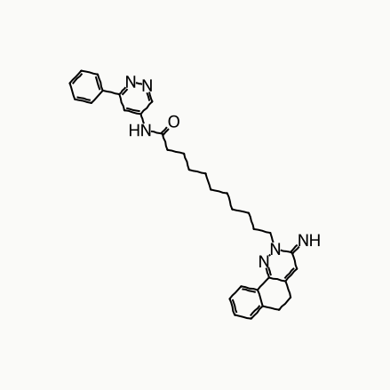 N=c1cc2c(nn1CCCCCCCCCCC(=O)Nc1cnnc(-c3ccccc3)c1)-c1ccccc1CC2